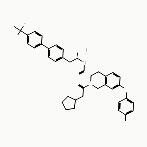 CC(C)(C)c1ccc(Oc2ccc3c(c2)CN(C(=O)CC2CCCC2)[C@H](C(=O)N[C@@H](Cc2ccc(-c4ccc(C(C)(F)F)cc4)cc2)C(=O)O)C3)cc1